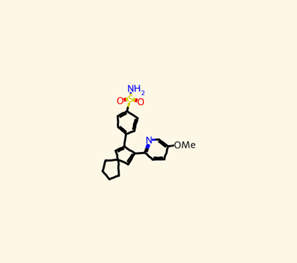 COc1ccc(C2=CC3(C=C2c2ccc(S(N)(=O)=O)cc2)CCCC3)nc1